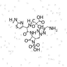 CC(C)(ON=C(C(=O)N[C@@H]1C(=O)N(S(=O)(=O)O)[C@@H]1Cn1ncc(CN)n1)c1csc(N)n1)C(=O)O